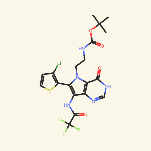 CC(C)(C)OC(=O)NCCn1c(-c2sccc2Cl)c(NC(=O)C(F)(F)F)c2nc[nH]c(=O)c21